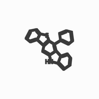 c1ccc(-c2c3sc4ccccc4c3cc3[nH]c4ccccc4c23)cc1